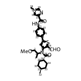 COCC(C)N(c1cc(-c2ccc(NC(=O)c3cn(C)cn3)cc2)sc1C=O)C(=O)[C@H]1CC[C@H](C)CC1